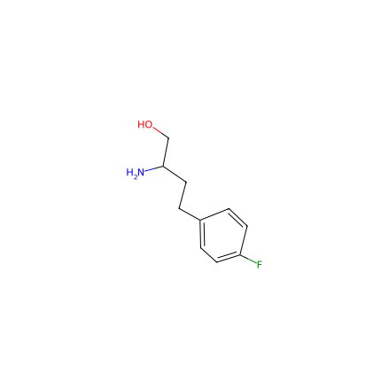 NC(CO)CCc1ccc(F)cc1